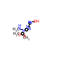 CNCCN(c1cc(OC)cc(OC)c1)c1ccc2ncc(-c3cnn(CCO)c3)nc2c1